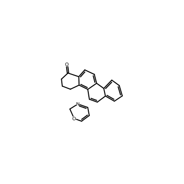 C1=COCN=C1.O=C1CCCc2c1ccc1c2ccc2ccccc21